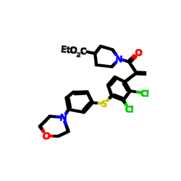 C=C(C(=O)N1CCC(C(=O)OCC)CC1)c1ccc(Sc2cccc(N3CCOCC3)c2)c(Cl)c1Cl